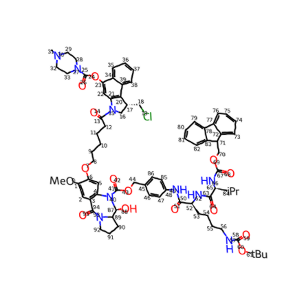 COc1cc2c(cc1OCCCCCC(=O)N1C[C@@H](CCl)c3c1cc(OC(=O)N1CCN(C)CC1)c1ccccc31)N(C(=O)OCc1ccc(NC(=O)[C@H](CCCCNC(=O)OC(C)(C)C)NC(=O)[C@@H](NC(=O)OCC3c4ccccc4-c4ccccc43)C(C)C)cc1)[C@@H](O)C1CCCN1C2=O